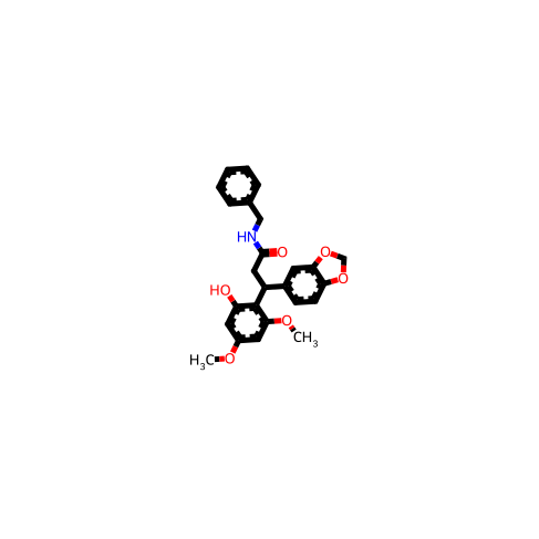 COc1cc(O)c(C(CC(=O)NCc2ccccc2)c2ccc3c(c2)OCO3)c(OC)c1